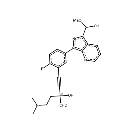 COC(O)c1nn(-c2ccc(F)c(C#C[C@@](O)(C=O)CCN(C)C)c2)c2ncccc12